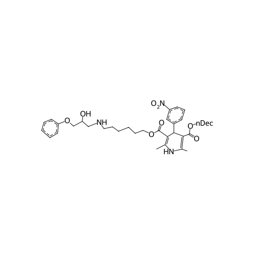 CCCCCCCCCCOC(=O)C1=C(C)NC(C)=C(C(=O)OCCCCCCNCC(O)COc2ccccc2)C1c1cccc([N+](=O)[O-])c1